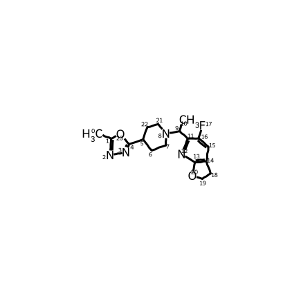 Cc1nnc(C2CCN(C(C)c3nc4c(cc3F)CCO4)CC2)o1